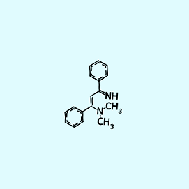 CN(C)/C(=C\C(=N)c1ccccc1)c1ccccc1